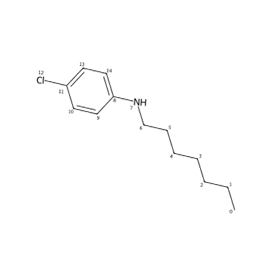 CCCCCCCNc1ccc(Cl)cc1